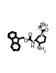 CC(C)(C)OC(=O)N1CCC(N)C(NC(=O)OCC2c3ccccc3-c3ccccc32)C1